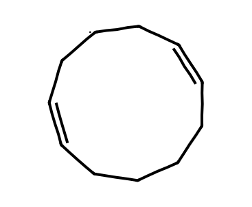 [CH]1CC=CCCCCC=CC1